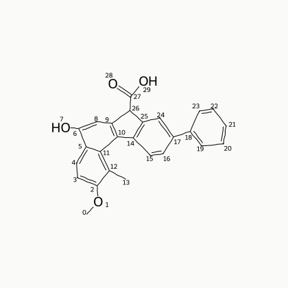 COc1ccc2c(O)cc3c(c2c1C)-c1ccc(-c2ccccc2)cc1C3C(=O)O